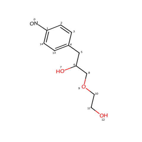 O=Nc1ccc(CC(O)COCCO)cc1